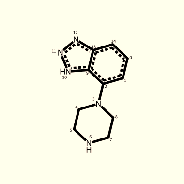 c1cc(N2CCNCC2)c2[nH]nnc2c1